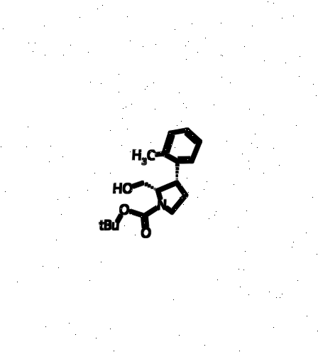 Cc1ccccc1[C@@H]1CCN(C(=O)OC(C)(C)C)[C@@H]1CO